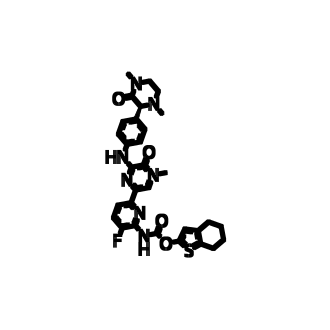 CN1CCN(C)[C@@H](c2ccc(Nc3nc(-c4ccc(F)c(NC(=O)Oc5cc6c(s5)CCCC6)n4)cn(C)c3=O)cc2)C1=O